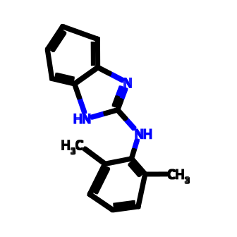 Cc1cccc(C)c1Nc1nc2ccccc2[nH]1